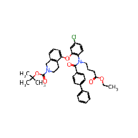 CCOC(=O)CCCN(C(=O)c1ccc(-c2ccccc2)cc1)c1ccc(Cl)cc1Oc1cccc2c1CCN(C(=O)OC(C)(C)C)C2